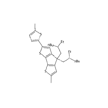 CCCCC(CC)CC1(CC(CC)CCCC)c2cc(C)sc2-c2sc(-c3ccc(C)s3)cc21